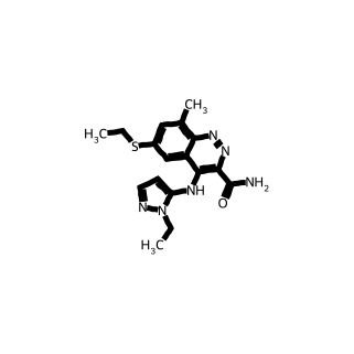 CCSc1cc(C)c2nnc(C(N)=O)c(Nc3ccnn3CC)c2c1